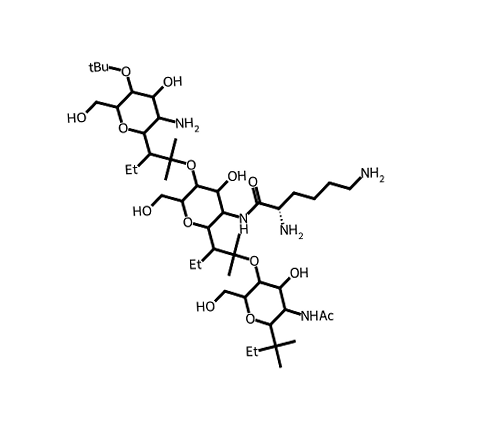 CCC(C1OC(CO)C(OC(C)(C)C)C(O)C1N)C(C)(C)OC1C(CO)OC(C(CC)C(C)(C)OC2C(CO)OC(C(C)(C)CC)C(NC(C)=O)C2O)C(NC(=O)[C@@H](N)CCCCN)C1O